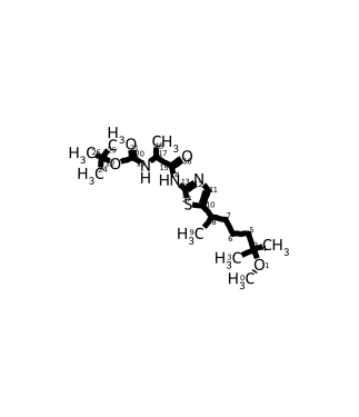 COC(C)(C)CCCC(C)c1cnc(NC(=O)C(C)NC(=O)OC(C)(C)C)s1